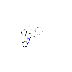 CN1CCCN(C(=O)c2c(NC3CC3)c3cnccc3n3c2nc2ccccc23)CC1